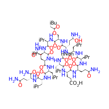 CCCCCCCCCC(=O)N[C@@H](CC(C)C)C(=O)N[C@H](CCC(=O)O)C(=O)N[C@H](CCC(N)=O)C(=O)N[C@@H](C(=O)N[C@H](CC(C)C)C(=O)N[C@@H](CCC(N)O)C(=O)N[C@H](COC(=O)C[C@@H](C)CC)C(=O)N[C@@H](C(=O)N[C@H](CC(C)C)C(=O)N[C@H](CCC(N)=O)C(=O)N[C@@H](CC(C)C)C(=O)N[C@H](CC(C)C)C(=O)N[C@H](CCC(N)=O)C(N)=O)C(C)C)C(C)C